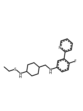 CCSNC1CCC(CNc2ccc(F)c(-c3ccccn3)c2)CC1